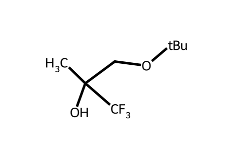 CC(C)(C)OCC(C)(O)C(F)(F)F